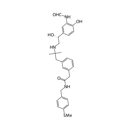 CSc1ccc(CNC(=O)Cc2cccc(CC(C)(C)NC[C@H](O)c3ccc(O)c(NC=O)c3)c2)cc1